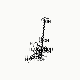 CCCCCC(CCCC(O)C(O)CCCCCCCCCCCCCC(O)C(=O)O)OC1OCC(O)C(O)C1OC1OCC(OC(C)=O)C(O)C1OC1OC(COC(=O)CC(C)C)C(O)C(O)C1O